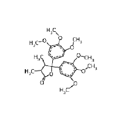 COc1cc(C2(c3cc(OC)c(OC)c(OC)c3)OC(=O)C(C)C2C)cc(OC)c1OC